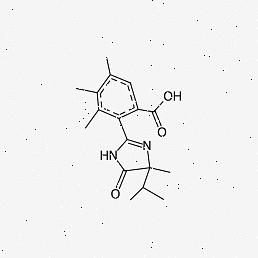 Cc1cc(C(=O)O)c(C2=NC(C)(C(C)C)C(=O)N2)c(C)c1C